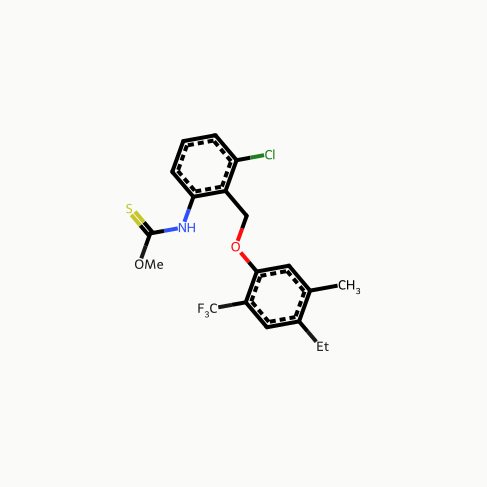 CCc1cc(C(F)(F)F)c(OCc2c(Cl)cccc2NC(=S)OC)cc1C